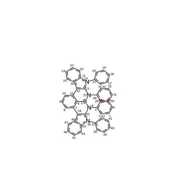 c1ccc(N2B3c4c(cccc4-c4c(n(-c5ccccc5)c5ccccc45)N3c3ccccc3)-c3c2n(-c2ccccc2)c2ccccc32)cc1